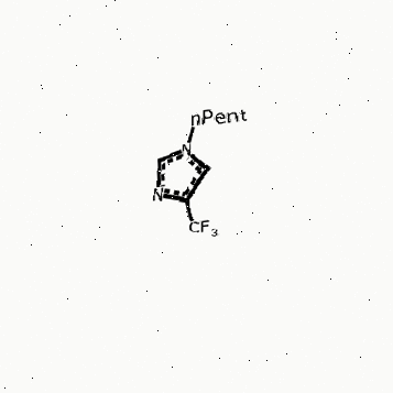 CCCCCn1cnc(C(F)(F)F)c1